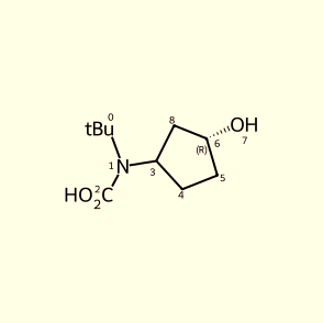 CC(C)(C)N(C(=O)O)C1CC[C@@H](O)C1